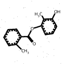 Cc1ccccc1C(=O)Oc1cccc(O)c1C